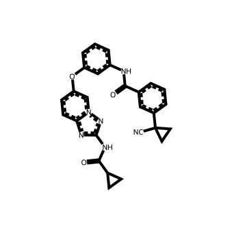 N#CC1(c2cccc(C(=O)Nc3cccc(Oc4ccc5nc(NC(=O)C6CC6)nn5c4)c3)c2)CC1